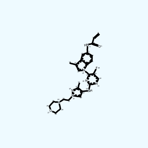 C=CC(=O)Nc1ccc2c(c1)c(C)cn2-c1nc(Nc2cn(CCN3CCOCC3)nc2C)ncc1F